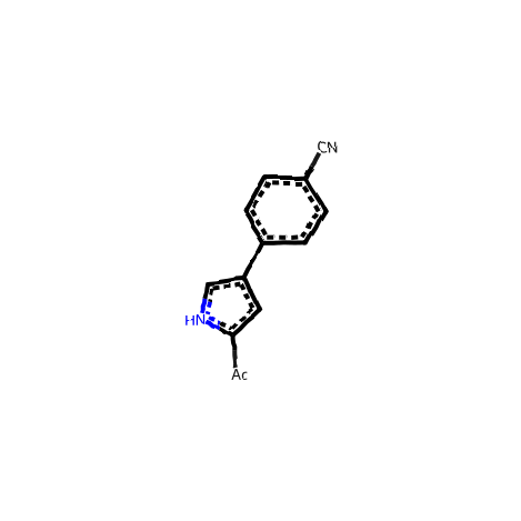 CC(=O)c1cc(-c2ccc(C#N)cc2)c[nH]1